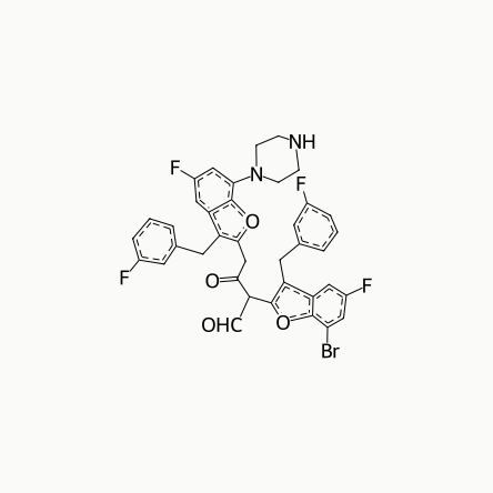 O=CC(C(=O)Cc1oc2c(N3CCNCC3)cc(F)cc2c1Cc1cccc(F)c1)c1oc2c(Br)cc(F)cc2c1Cc1cccc(F)c1